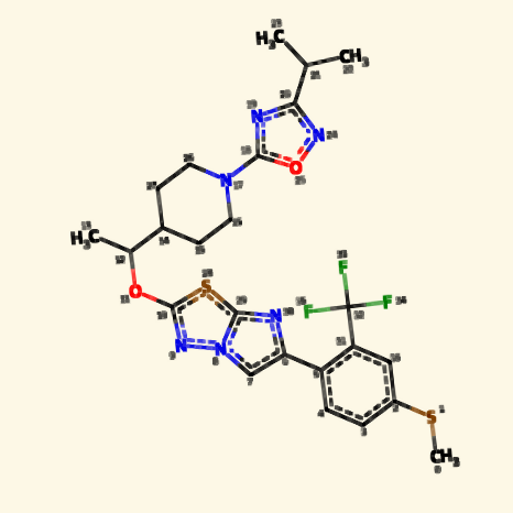 CSc1ccc(-c2cn3nc(OC(C)C4CCN(c5nc(C(C)C)no5)CC4)sc3n2)c(C(F)(F)F)c1